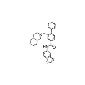 O=C(Nc1ccc2scnc2c1)c1ccc(-c2ccccc2)c(CN2CCC3C=CC=CC3C2)c1